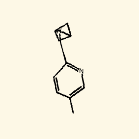 Cc1ccc(N2CC3CC2C3)nc1